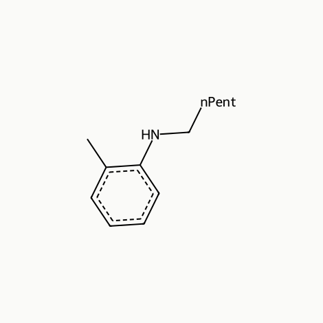 CCCCCCNc1ccccc1C